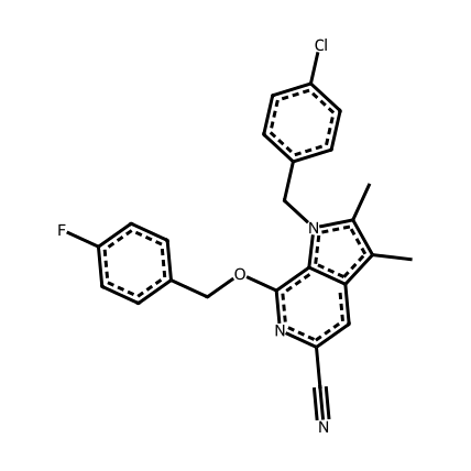 Cc1c(C)n(Cc2ccc(Cl)cc2)c2c(OCc3ccc(F)cc3)nc(C#N)cc12